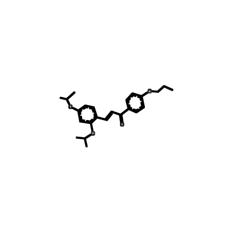 CCCOc1ccc(C(=O)/C=C/c2ccc(OC(C)C)cc2OC(C)C)cc1